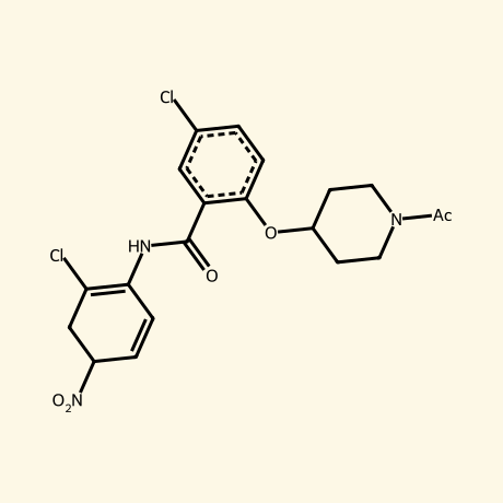 CC(=O)N1CCC(Oc2ccc(Cl)cc2C(=O)NC2=C(Cl)CC([N+](=O)[O-])C=C2)CC1